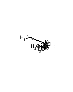 CCCCCCCCCCCCCCCC(=O)N(C)C(CO)C(=O)N[C@H](C)C(=O)NCC